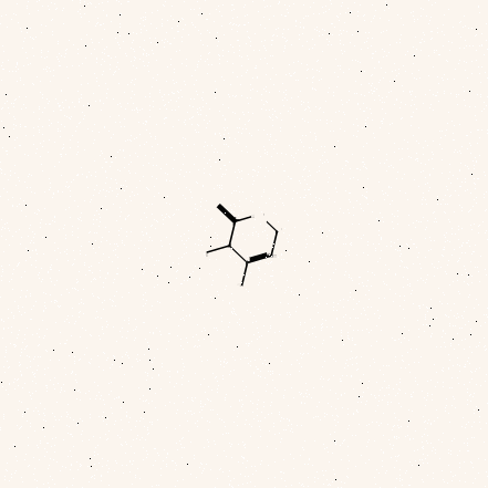 C=C1OCC=C(C)C1C